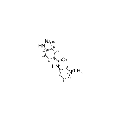 CN1CCCC(NC(=O)c2ccc3[nH]ncc3c2)C1